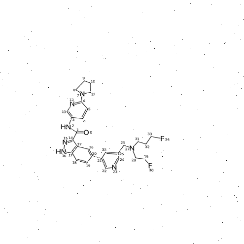 O=C(Nc1ccc(N2CCCC2)nc1)c1n[nH]c2ccc(-c3cncc(CN(CCF)CCCF)c3)cc12